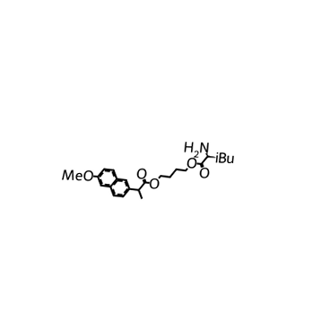 CC[C@H](C)[C@H](N)C(=O)OCCCCOC(=O)C(C)c1ccc2cc(OC)ccc2c1